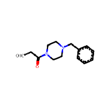 O=CCC(=O)N1CCN(Cc2ccccc2)CC1